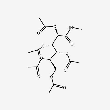 CNC(=O)[C@H](OC(C)=O)[C@@H](OC(C)=O)[C@H](OC(C)=O)[C@@H](COC(C)=O)OC(C)=O